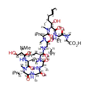 C/C=C/C[C@@H](C)[C@@H](O)[C@@H](C(=O)N[C@@H](CC)C(=O)N(C)CC(=O)O)N(C)C(=O)[C@H](C(C)C)N(C)C(=O)[C@H](CC(C)C)N(C)C(=O)[C@H](CC(C)C)N(C)C(=O)[C@H](C)NC(=O)[C@H](C)NC(=O)[C@H](CC(C)C)N(C)C(=O)[C@@H](NC(=O)[C@H](CO)NC)C(C)C